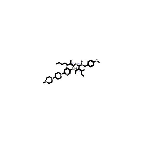 CCCCC(=O)/C(C)=C(/N=C(NCc1ccc(OC)cc1)\C(CC)=C(/C)CC)Nc1ccc(N2CCC(N3CCN(C)CC3)CC2)nc1